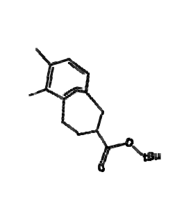 Cc1ccc2c(c1C)CCC(C(=O)OC(C)(C)C)C2